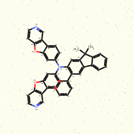 CC1(C)c2ccccc2-c2cc(-c3ccccc3)c(N(c3ccc4c(c3)oc3ccncc34)c3ccc4c(c3)oc3ccncc34)cc21